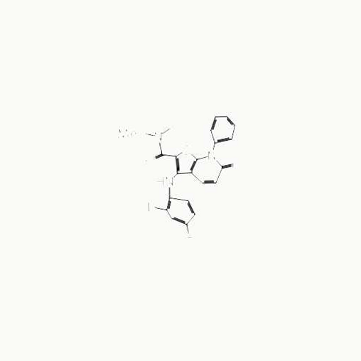 CON(C)C(=O)c1sc2c(ccc(=O)n2-c2ccccc2)c1Nc1ccc(F)cc1F